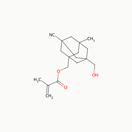 C=C(C)C(=O)OCC12CC3(C)CC(C#N)(CC(CO)(C3)C1)C2